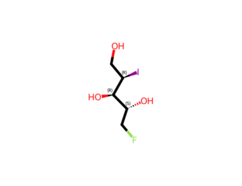 OC[C@@H](I)[C@H](O)[C@H](O)CF